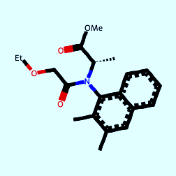 CCOCC(=O)N(c1c(C)c(C)cc2ccccc12)[C@@H](C)C(=O)OC